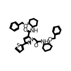 O=C(Cn1nc(-c2cccs2)cc1C(=O)N[C@H]1CCCC[C@@H]1OCc1ccccc1)N[C@H]1CCCC[C@@H]1OCc1ccccc1